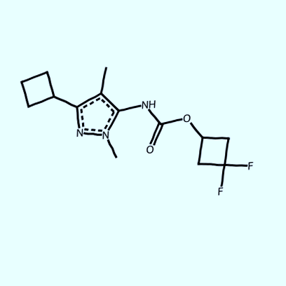 Cc1c(C2CCC2)nn(C)c1NC(=O)OC1CC(F)(F)C1